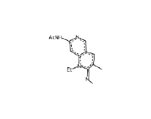 CCn1/c(=N/C)c(C)cc2cnc(NC(C)=O)cc21